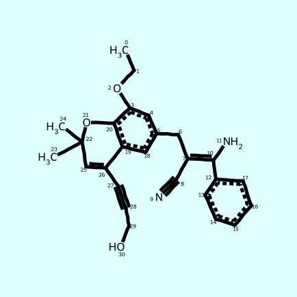 CCOc1cc(CC(C#N)=C(N)c2ccccc2)cc2c1OC(C)(C)C=C2C#CCO